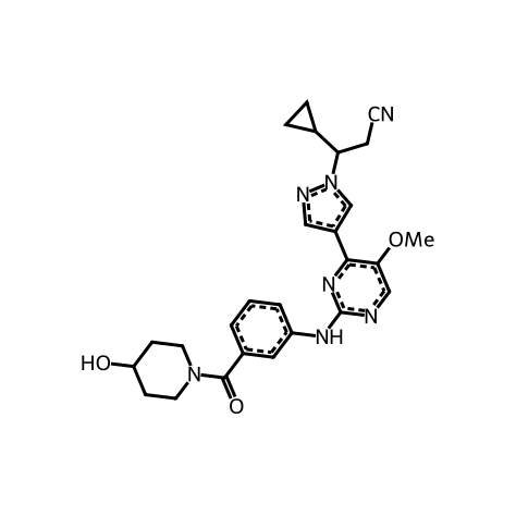 COc1cnc(Nc2cccc(C(=O)N3CCC(O)CC3)c2)nc1-c1cnn(C(CC#N)C2CC2)c1